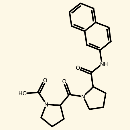 O=C(Nc1ccc2ccccc2c1)C1CCCN1C(=O)C1CCCN1C(=O)O